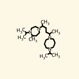 CC(C)N1CCCN(C(C)CCC(C)N2CC[C@@H](C)N(C(C)C)CC2)CCC1